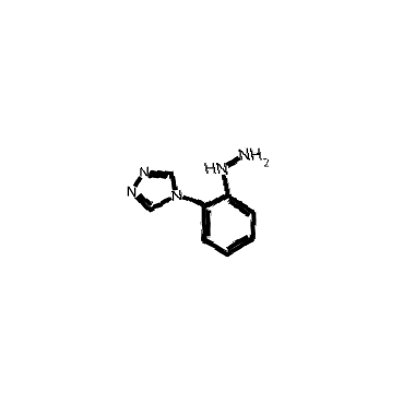 NNc1ccccc1-n1cnnc1